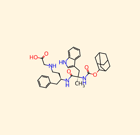 C[C@](Cc1c[nH]c2ccccc12)(NC(=O)OC1C2CC3CC(C2)CC1C3)C(=O)N[C@H](CCNCC(=O)O)Cc1ccccc1